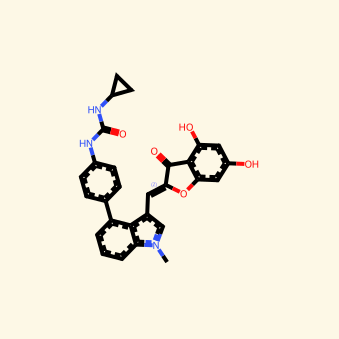 Cn1cc(/C=C2\Oc3cc(O)cc(O)c3C2=O)c2c(-c3ccc(NC(=O)NC4CC4)cc3)cccc21